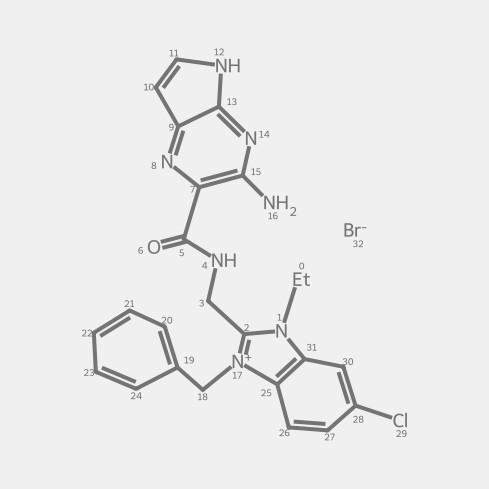 CCn1c(CNC(=O)c2nc3cc[nH]c3nc2N)[n+](Cc2ccccc2)c2ccc(Cl)cc21.[Br-]